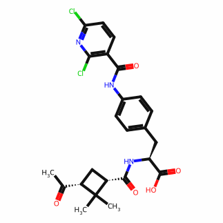 CC(=O)[C@@H]1C[C@H](C(=O)N[C@@H](Cc2ccc(NC(=O)c3ccc(Cl)nc3Cl)cc2)C(=O)O)C1(C)C